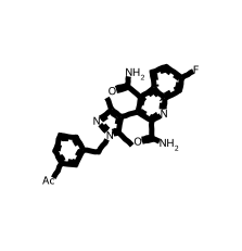 CC(=O)c1cccc(Cn2nc(C)c(-c3c(C(N)=O)nc4cc(F)ccc4c3C(N)=O)c2C)c1